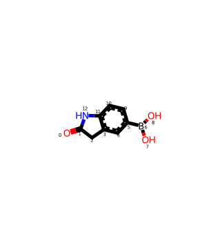 O=C1Cc2cc(B(O)O)ccc2N1